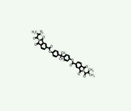 C=C(C)C(=O)N1C(=O)c2ccc(C(=O)Oc3ccc(C(C)(C)c4ccc(OC(=O)c5ccc6c(c5)C(=O)N(C(=O)C(=C)C)C6=O)cc4)cc3)cc2C1=O